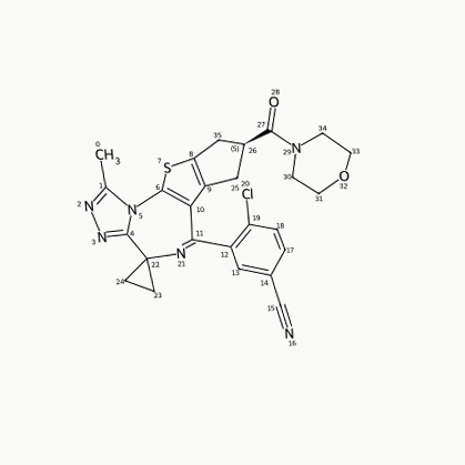 Cc1nnc2n1-c1sc3c(c1C(c1cc(C#N)ccc1Cl)=NC21CC1)C[C@H](C(=O)N1CCOCC1)C3